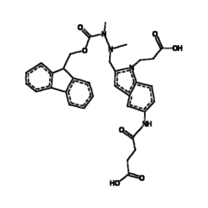 CN(Cc1cc2cc(NC(=O)CCC(=O)O)ccc2n1CCC(=O)O)N(C)C(=O)OCC1c2ccccc2-c2ccccc21